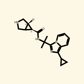 CC(C)(NC(=O)[C@H]1C2CNC[C@@H]21)c1nc(C2CC2)c2ccccn12